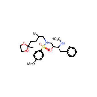 CCC(CCC1(C)OCCO1)CN(C[C@H](O)[C@H](Cc1ccccc1)NC(=O)O)S(=O)(=O)c1ccc(OC)cc1